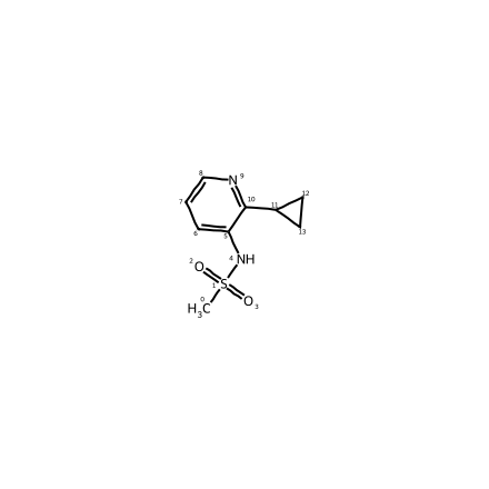 CS(=O)(=O)Nc1cccnc1C1CC1